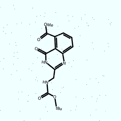 COC(=O)c1cccc2nc(CNC(=O)OC(C)(C)C)[nH]c(=O)c12